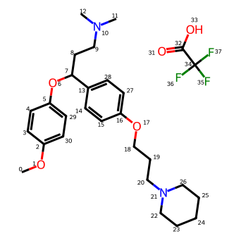 COc1ccc(OC(CCN(C)C)c2ccc(OCCCN3CCCCC3)cc2)cc1.O=C(O)C(F)(F)F